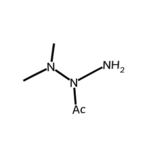 CC(=O)N(N)N(C)C